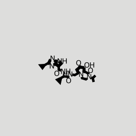 CC(C)N1CCn2c(CNC(=O)[C@H](NC(=O)c3c[nH]c4ncc(C5CC5)nc34)C3CC3)cc(=O)c(O)c2C1=O